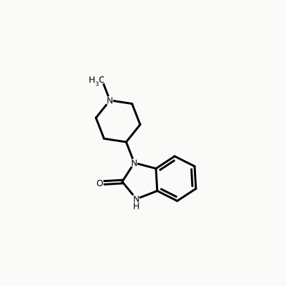 CN1CCC(n2c(=O)[nH]c3ccccc32)CC1